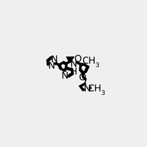 Cc1ccc(OC[C@@H]2CCN2C)cc1C(=O)NC1(c2cc(-c3ncccn3)cc3ncccc23)CC1